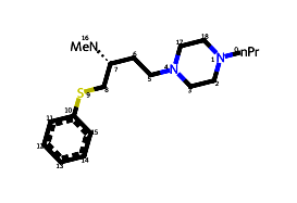 CCCN1CCN(CC[C@H](CSc2ccccc2)NC)CC1